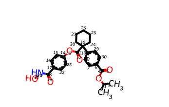 CC(C)OC(=O)c1ccc(C2(C(=O)Oc3ccc(C(=O)NO)cc3)CCCCC2)cc1